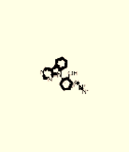 [N-]=[N+]=N[C@@H]1CCC[C@H](n2c3ccccc3c3cncnc32)[C@H]1O